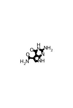 NC(=O)c1c[nH]c2nc(N)[nH]c(=O)c12